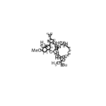 COc1ccc2c(O[C@@H]3C[C@H]4C(=O)N[C@@]5(C=O)C[C@@H]5/C=C\CCCCC[C@H](NC(=O)N(C)C(C)(C)C)C(=O)N4C3)cc(-c3nc(C4CC4)cs3)nc2c1C